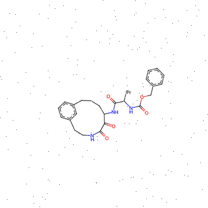 CC(C)C(NC(=O)OCc1ccccc1)C(=O)NC1CCCc2cccc(c2)CCNC(=O)C1=O